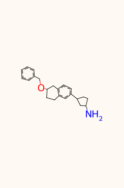 NC1CCC(c2ccc3c(c2)CCC(OCc2ccccc2)C3)C1